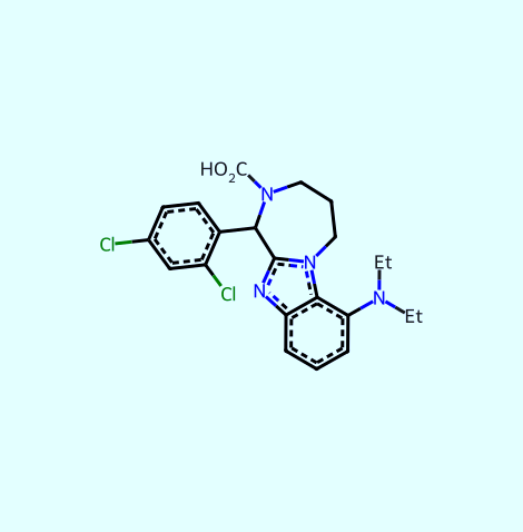 CCN(CC)c1cccc2nc3n(c12)CCCN(C(=O)O)C3c1ccc(Cl)cc1Cl